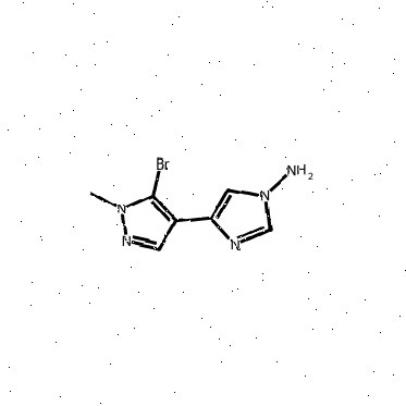 Cn1ncc(-c2cn(N)cn2)c1Br